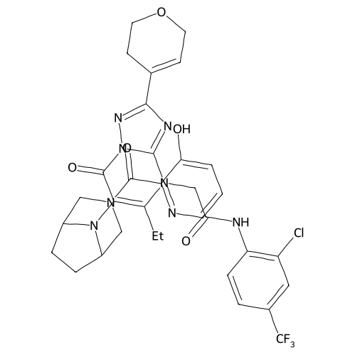 CCc1c(N2C3CCC2CN(C(=O)c2ncccc2O)C3)c(=O)n2nc(C3=CCOCC3)nc2n1CC(=O)Nc1ccc(C(F)(F)F)cc1Cl